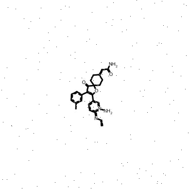 C=C/N=c1/ccc(C2=C(c3cccc(C)c3)C(=O)C3(CCC(=CC(N)=O)CC3)O2)cn1N